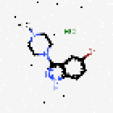 CN1CCN(c2n[nH]c3ccc(Br)cc23)CC1.Cl